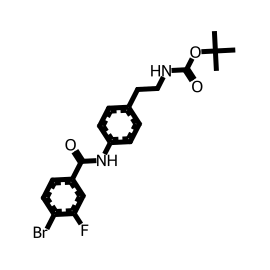 CC(C)(C)OC(=O)NCCc1ccc(NC(=O)c2ccc(Br)c(F)c2)cc1